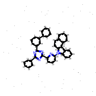 c1ccc(-c2cccc(-c3nc(-c4ccccc4)nc(-c4cccc(-n5c6ccccc6c6c7ccccc7ccc65)n4)n3)c2)cc1